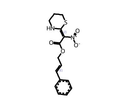 O=C(OC/C=C/c1ccccc1)/C(=C1\NCCCS1)[N+](=O)[O-]